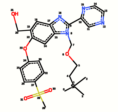 C[Si](C)(C)CCOCn1c(-c2cnccn2)nc2cc(CO)c(Oc3ccc(S(C)(=O)=O)cc3)cc21